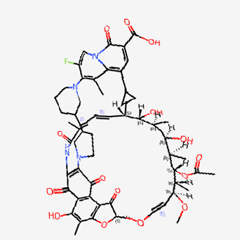 CO[C@H]1/C=C/O[C@@]2(C)Oc3c(C)c(O)c4c(c3C2=O)C(=O)C(N2CCC(C3CCCN(c5c(F)cn6c(=O)c(C(=O)O)cc(C7CC7)c6c5C)C3)C2)=C(NC(=O)/C(C)=C\C=C\[C@H](C)[C@H](O)[C@@H](C)[C@@H](O)[C@@H](C)[C@H](OC(C)=O)[C@@H]1C)C4=O